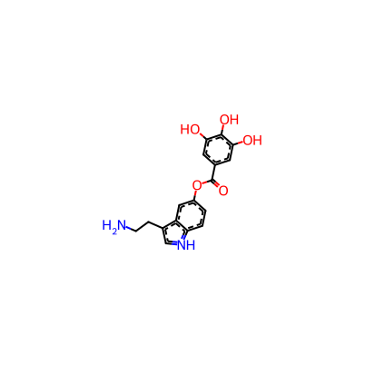 NCCc1c[nH]c2ccc(OC(=O)c3cc(O)c(O)c(O)c3)cc12